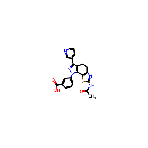 CC(=O)Nc1nc2c(s1)-c1c(c(-c3cccnc3)nn1-c1cccc(C(=O)O)c1)CC2